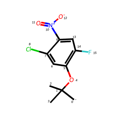 [CH2]C(C)(C)Oc1cc(Cl)c([N+](=O)[O-])cc1F